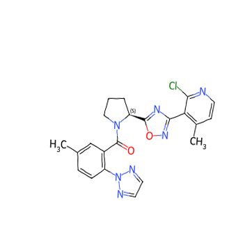 Cc1ccc(-n2nccn2)c(C(=O)N2CCC[C@H]2c2nc(-c3c(C)ccnc3Cl)no2)c1